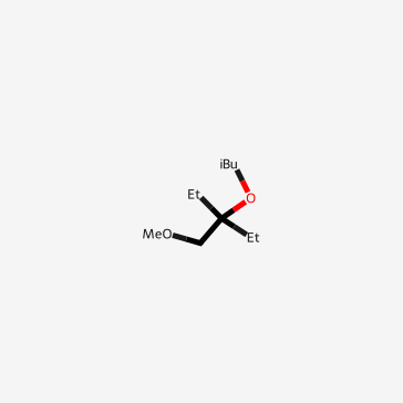 CCC(C)OC(CC)(CC)COC